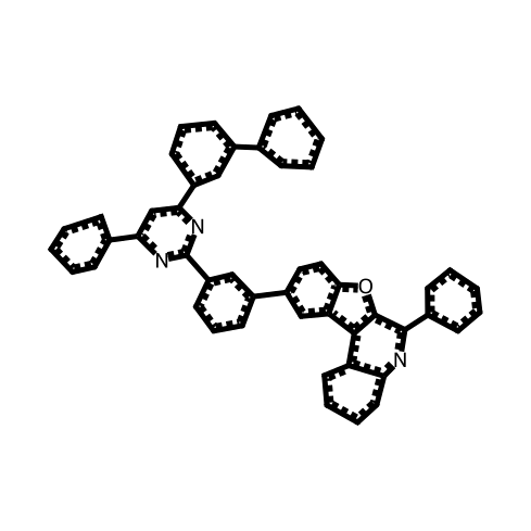 c1ccc(-c2cccc(-c3cc(-c4ccccc4)nc(-c4cccc(-c5ccc6oc7c(-c8ccccc8)nc8ccccc8c7c6c5)c4)n3)c2)cc1